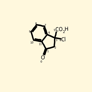 O=C1CC(Cl)(C(=O)O)c2ccccc21